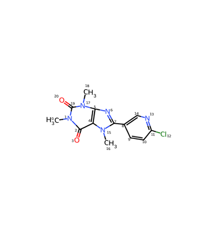 Cn1c(=O)c2c(nc(-c3ccc(Cl)nc3)n2C)n(C)c1=O